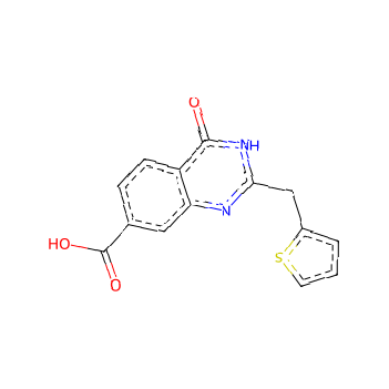 O=C(O)c1ccc2c(=O)[nH]c(Cc3cccs3)nc2c1